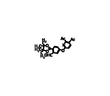 CC(=O)c1ccc(Oc2ccc(B3OC(C)(C)C(C)(C)O3)c(C=O)c2)nc1C(C)=O